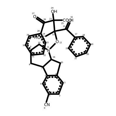 N#Cc1ccc2c(c1)C1CCCN(OC(C(=O)O)(C(=O)c3ccccc3)C(O)(C(=O)O)C(=O)c3ccccc3)C1C2